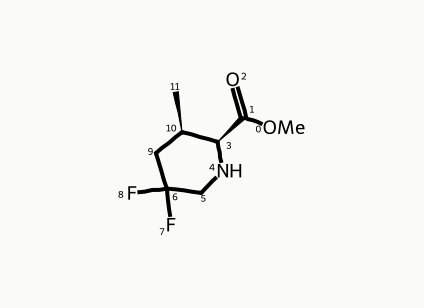 COC(=O)[C@H]1NCC(F)(F)C[C@H]1C